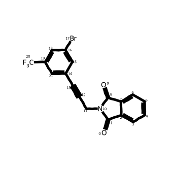 O=C1c2ccccc2C(=O)N1CC#Cc1cc(Br)cc(C(F)(F)F)c1